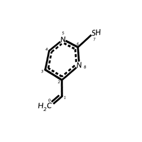 C=Cc1ccnc(S)n1